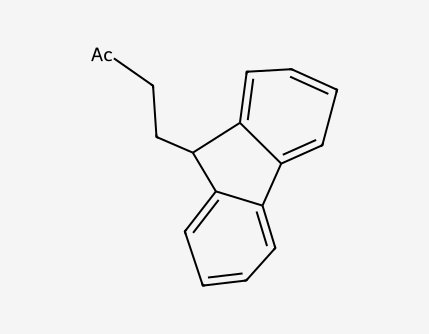 CC(=O)CCC1c2ccccc2-c2ccccc21